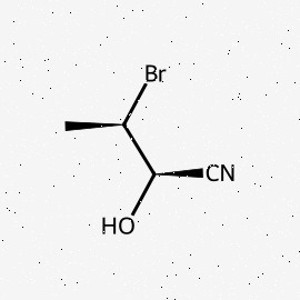 C[C@@H](Br)[C@H](O)C#N